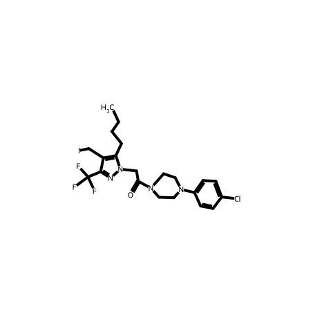 CCCCc1c(CI)c(C(F)(F)F)nn1CC(=O)N1CCN(c2ccc(Cl)cc2)CC1